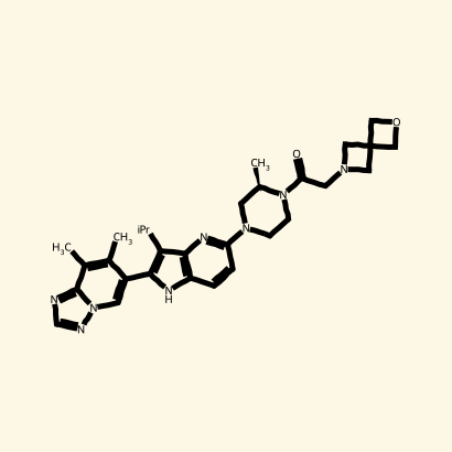 Cc1c(-c2[nH]c3ccc(N4CCN(C(=O)CN5CC6(COC6)C5)[C@H](C)C4)nc3c2C(C)C)cn2ncnc2c1C